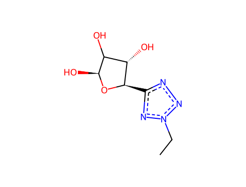 CCn1nnc([C@H]2O[C@@H](O)C(O)[C@@H]2O)n1